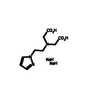 O=C(O)CN(CCn1cccn1)CC(=O)O.[NaH].[NaH]